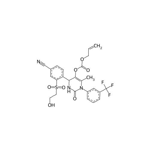 C=CCOC(=O)OC1=C(C)N(c2cccc(C(F)(F)F)c2)C(=O)NC1c1ccc(C#N)cc1S(=O)(=O)CCO